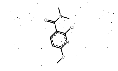 COc1ccc(C(=O)N(C)C)c(Cl)n1